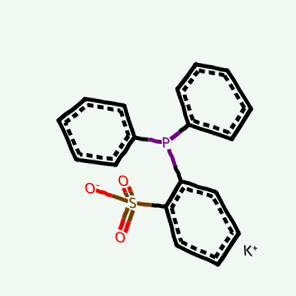 O=S(=O)([O-])c1ccccc1P(c1ccccc1)c1ccccc1.[K+]